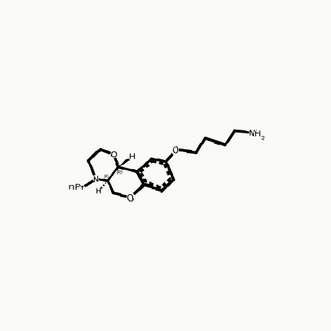 CCCN1CCO[C@@H]2c3cc(OCCCCN)ccc3OC[C@H]21